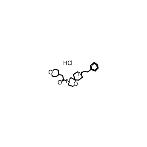 Cl.O=C(CC1CCOCC1)N1CCOC2(CCN(CCc3ccccc3)CC2)C1